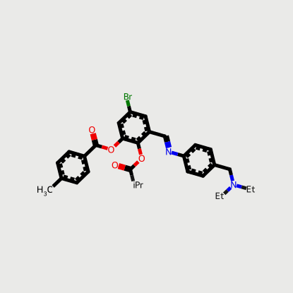 CCN(CC)Cc1ccc(N=Cc2cc(Br)cc(OC(=O)c3ccc(C)cc3)c2OC(=O)C(C)C)cc1